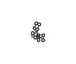 c1ccc(-c2cccc3cccc(-c4ccc(N(c5ccc6c(c5)-c5ccccc5C6(c5ccccc5)c5ccccc5)c5cccc6sc7ccc8ccccc8c7c56)cc4)c23)cc1